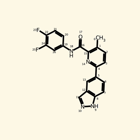 Cc1ccc(-c2ccc3[nH]ncc3c2)nc1C(=O)Nc1ccc(F)c(F)c1